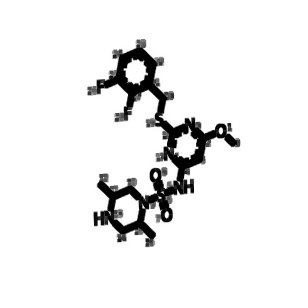 COc1cc(NS(=O)(=O)N2CC(C)NCC2C)nc(SCc2cccc(F)c2F)n1